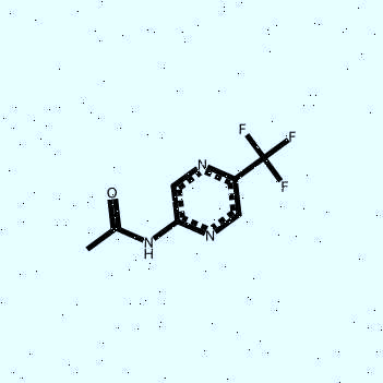 CC(=O)Nc1cnc(C(F)(F)F)cn1